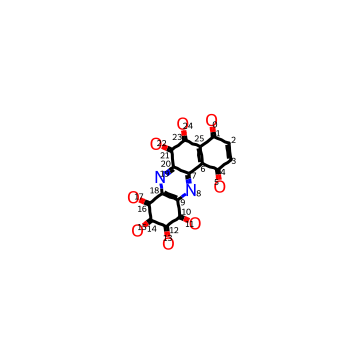 O=c1ccc(=O)c2c3nc4c(=O)c(=O)c(=O)c(=O)c4nc3c(=O)c(=O)c1=2